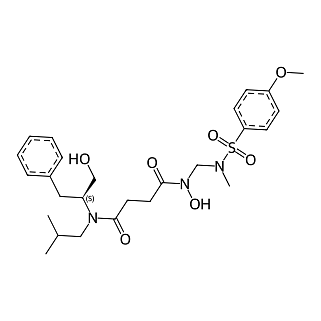 COc1ccc(S(=O)(=O)N(C)CN(O)C(=O)CCC(=O)N(CC(C)C)[C@H](CO)Cc2ccccc2)cc1